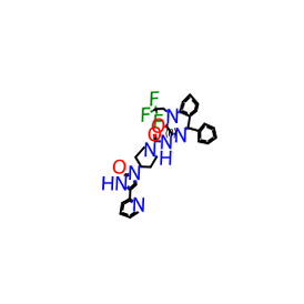 O=C(N[C@@H]1N=C(c2ccccc2)c2ccccc2N(CC(F)(F)F)C1=O)N1CCC(n2cc(-c3ccccn3)[nH]c2=O)CC1